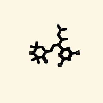 CC(C)CC(C)N(CCN1CC(C)(C)NC(C)(C)C1=O)c1nc(Cl)nc(Cl)n1